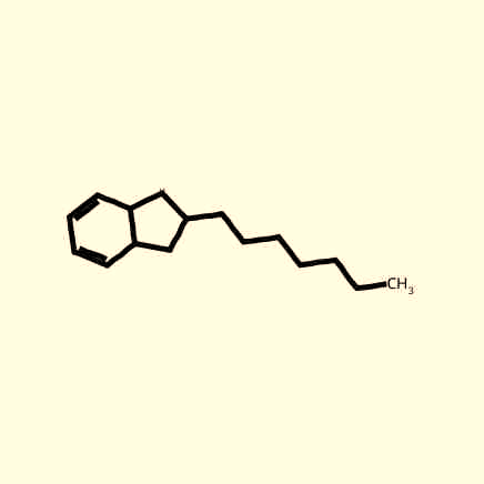 CCCCCCCC1[C]C2C=CC=CC2C1